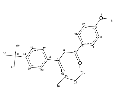 COc1ccc(C(=O)CC(=O)c2ccc(C(C)(C)C)cc2)cc1.[CH2]CCC